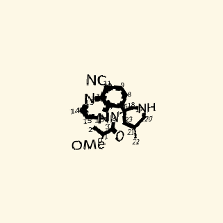 CO[C@H](C)C(=O)N[C@]1(c2ccc(C#N)c3nccnc23)CNC[C@@H](C)C1